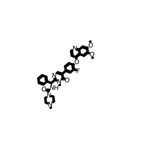 COc1cc2nccc(Oc3ccc(-c4cnc([C@@H](NC(=O)N5CCN(C)CC5)c5ccccc5)n(C)c4=O)cc3F)c2cc1OC